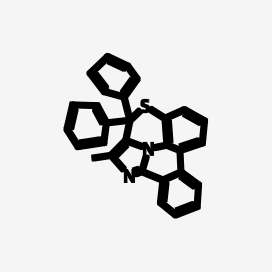 Cc1nc2c3ccccc3c3cccc4c3n2c1C(c1ccccc1)(c1ccccc1)S4